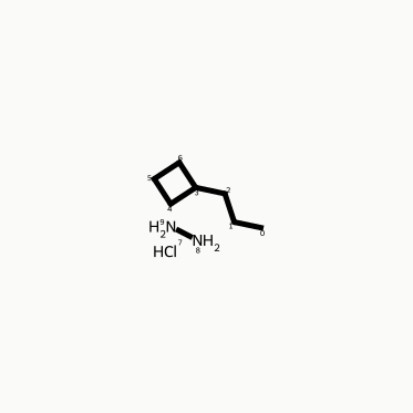 CCCC1CCC1.Cl.NN